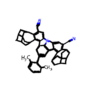 Cc1cccc(C)c1-c1cc2c3c4c(c(C#N)cc3n3c5cc(C#N)c6c(c5c(c1)c23)C1CC2CC3CC6CC32C1)C1CC2CC3CC4CC23C1